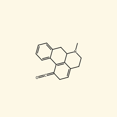 CN1CCC2=CCC(=C=O)C3=C2C1Cc1ccccc13